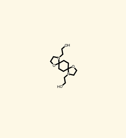 OCCN1CCOC12CCC1(CC2)OCCN1CCO